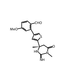 COc1ccc(C=O)c(-c2csc([C@]3(C)CC(=O)N(C)C(=N)N3)c2)c1